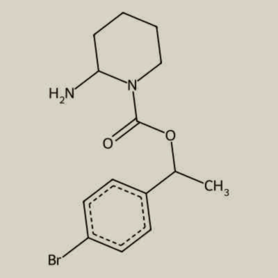 CC(OC(=O)N1CCCCC1N)c1ccc(Br)cc1